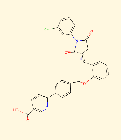 O=C(O)c1ccc(-c2ccc(COc3ccccc3/C=C3\CC(=O)N(c4cccc(Cl)c4)C3=O)cc2)nc1